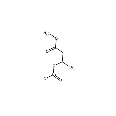 COC(=O)CC(C)O[N+](=O)[O-]